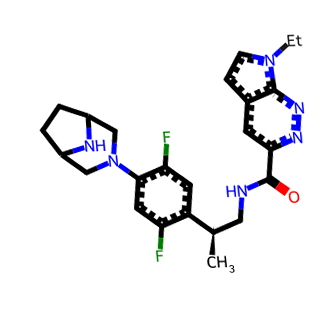 CCn1ccc2cc(C(=O)NC[C@@H](C)c3cc(F)c(N4CC5CCC(C4)N5)cc3F)nnc21